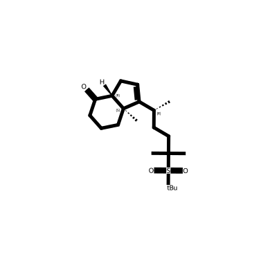 C[C@H](CCC(C)(C)S(=O)(=O)C(C)(C)C)C1=CC[C@H]2C(=O)CCC[C@]12C